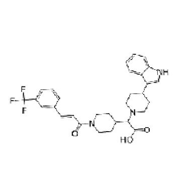 O=C(O)C(C1CCN(C(=O)C=Cc2cccc(C(F)(F)F)c2)CC1)N1CCC(c2c[nH]c3ccccc23)CC1